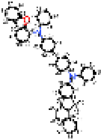 CC1(C)c2cc(N(c3ccccc3)c3ccc(-c4ccc(N(c5ccccc5)c5cccc6c5oc5ccccc56)cc4)cc3)ccc2-c2ccc3ccccc3c21